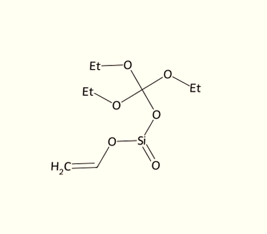 C=CO[Si](=O)OC(OCC)(OCC)OCC